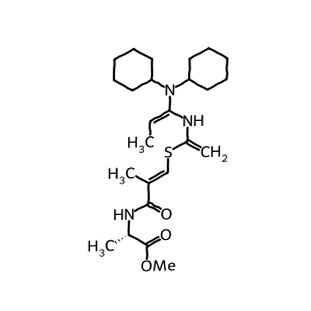 C=C(N/C(=C\C)N(C1CCCCC1)C1CCCCC1)S/C=C(\C)C(=O)N[C@@H](C)C(=O)OC